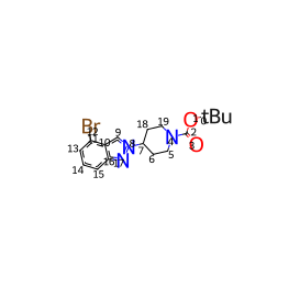 CC(C)(C)OC(=O)N1CCC(n2cc3c(Br)cccc3n2)CC1